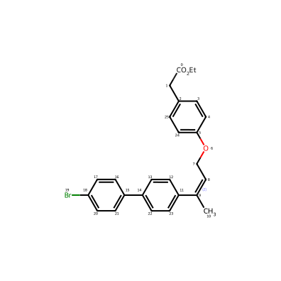 CCOC(=O)Cc1ccc(OC/C=C(/C)c2ccc(-c3ccc(Br)cc3)cc2)cc1